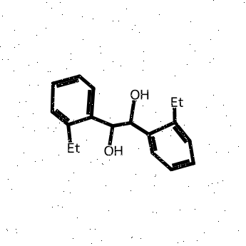 CCc1ccccc1C(O)C(O)c1ccccc1CC